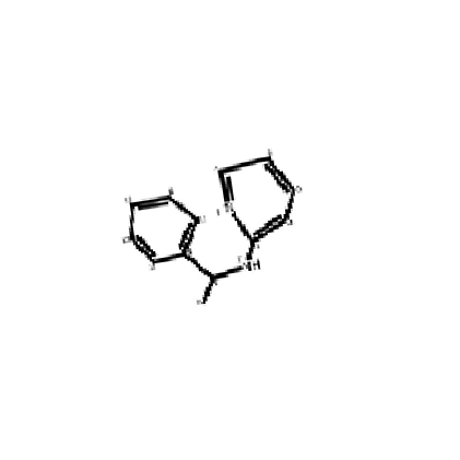 CC(Nc1c[c]ccn1)c1ccccc1